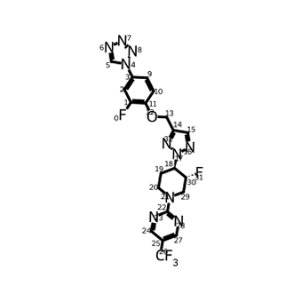 Fc1cc(-n2cnnn2)ccc1OCc1cnn([C@@H]2CCN(c3ncc(C(F)(F)F)cn3)C[C@H]2F)n1